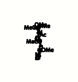 COc1cc(-c2nc3ccccc3s2)ccc1OCCCOc1cc(C2CC(c3cc(OC)c(OC)c(OC)c3)=NN2C(C)=O)ccc1OC